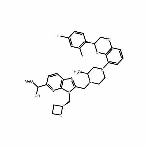 COC(O)c1ccc2nc(CN3CCN(c4cccc5c4O[C@@H](c4ccc(Cl)cc4F)CO5)C[C@@H]3C)n(C[C@@H]3CCO3)c2n1